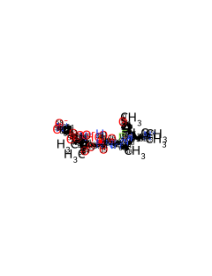 COc1ccc(-c2cc(CCC[N+](C)(C)C)c3n2[B-](F)(F)[N+]2=C(CCC(=O)NC(CS(=O)(=O)O)C(=O)NCCOc4cc([N+](=O)[O-])c(C(C)OC(=O)Oc5ccc([N+](=O)[O-])cc5)cc4OC)C=C(C)C2=C3)cc1